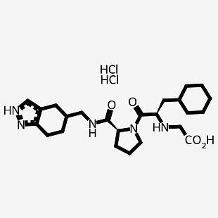 Cl.Cl.O=C(O)CN[C@H](CC1CCCCC1)C(=O)N1CCC[C@H]1C(=O)NCC1CCc2n[nH]cc2C1